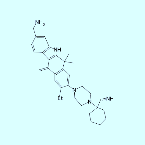 C=C1c2cc(CC)c(N3CCN(C4(C=N)CCCCC4)CC3)cc2C(C)(C)c2[nH]c3cc(CN)ccc3c21